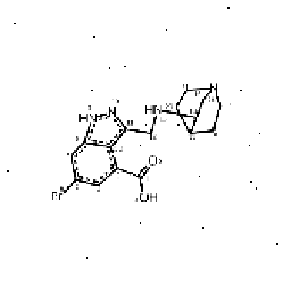 O=C(O)c1cc(Br)cc2[nH]nc(CNC3CN4CCC3CC4)c12